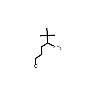 CC(C)(C)C([SiH3])CCC[O]